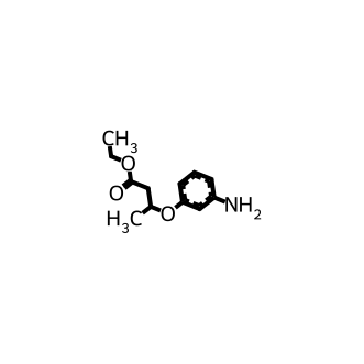 CCOC(=O)CC(C)Oc1cccc(N)c1